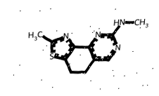 CNc1ncc2c(n1)-c1nc(C)sc1CC2